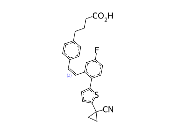 N#CC1(c2ccc(-c3ccc(F)cc3/C=C\c3ccc(CCCC(=O)O)cc3)s2)CC1